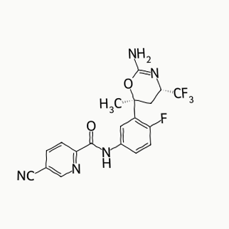 C[C@@]1(c2cc(NC(=O)c3ccc(C#N)cn3)ccc2F)C[C@@H](C(F)(F)F)N=C(N)O1